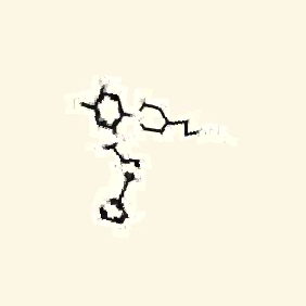 NCCC1CCN(c2cc(Br)c(F)cc2NC(=O)c2csc(-c3cccs3)n2)CC1